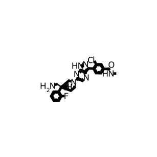 CNC(=O)c1ccc(-c2n[nH]c3nc(N4CC[C@@H]5[C@H](C4)[C@@]5(CN)c4ccccc4F)cnc23)c(Cl)c1